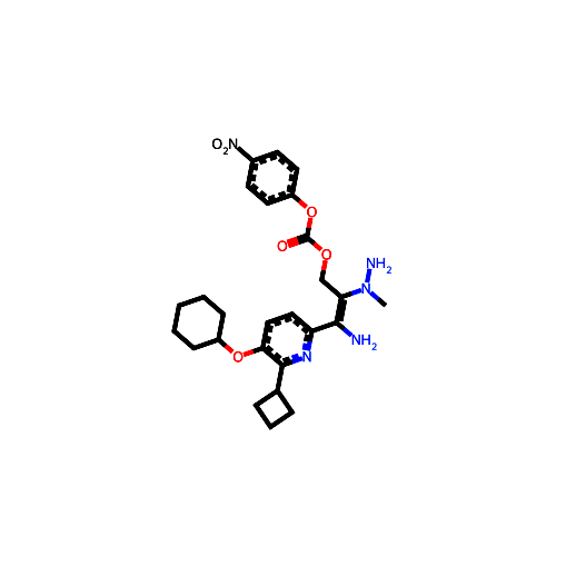 CN(N)/C(COC(=O)Oc1ccc([N+](=O)[O-])cc1)=C(\N)c1ccc(OC2CCCCC2)c(C2CCC2)n1